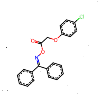 O=C(COc1ccc(Cl)cc1)ON=C(c1ccccc1)c1ccccc1